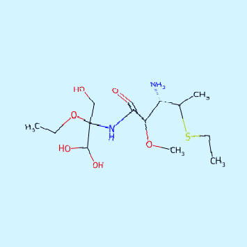 CCOC(CO)(NC(=O)C(OC)[C@H](N)C(C)SCC)C(O)O